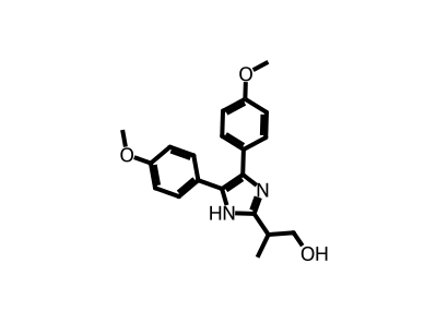 COc1ccc(-c2nc(C(C)CO)[nH]c2-c2ccc(OC)cc2)cc1